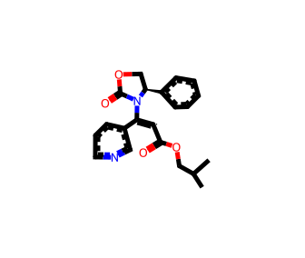 CC(C)COC(=O)[C]=C(c1cccnc1)N1C(=O)OC[C@H]1c1ccccc1